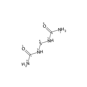 NC(=O)NSNC(N)=O